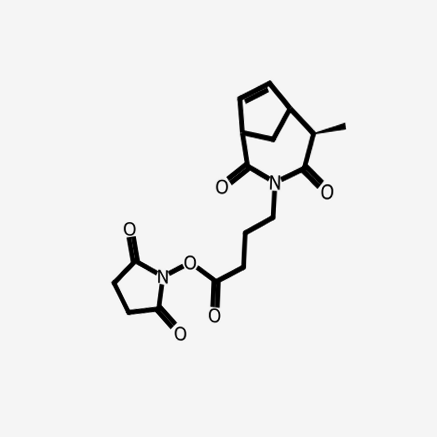 C[C@H]1C(=O)N(CCCC(=O)ON2C(=O)CCC2=O)C(=O)C2C=CC1C2